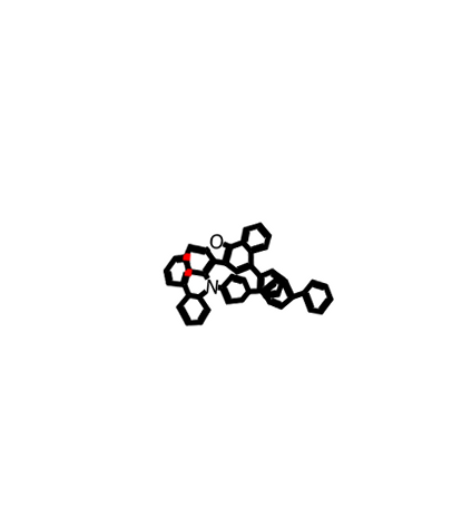 C1=CC(c2ccccc2)C(N(C2=CCC(c3ccc(-c4ccccc4)cc3)C=C2)C2=c3c(oc4c3cc(-c3ccccc3)c3ccccc34)=CCC2)C=C1